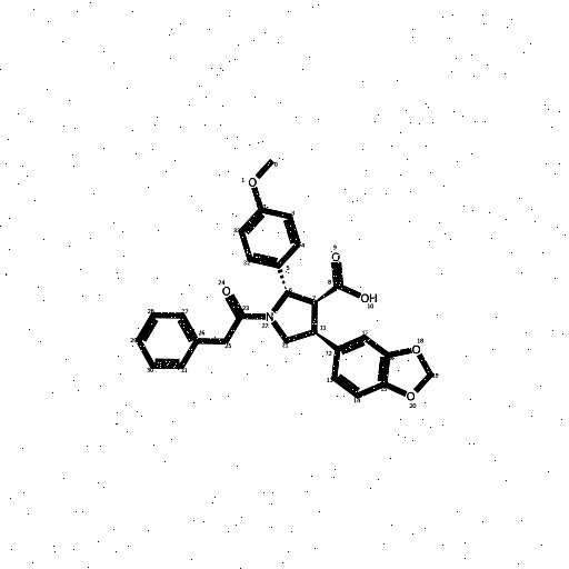 COc1ccc([C@@H]2[C@@H](C(=O)O)[C@@H](c3ccc4c(c3)OCO4)CN2C(=O)Cc2ccccc2)cc1